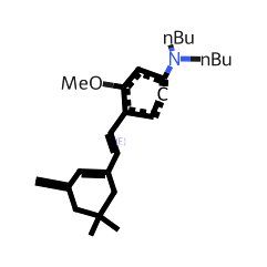 C=C1C=C(/C=C/c2ccc(N(CCCC)CCCC)cc2OC)CC(C)(C)C1